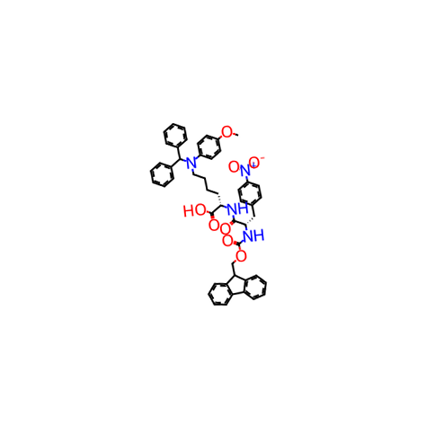 COc1ccc(N(CCCC[C@H](NC(=O)[C@H](Cc2ccc([N+](=O)[O-])cc2)NC(=O)OCC2c3ccccc3-c3ccccc32)C(=O)O)C(c2ccccc2)c2ccccc2)cc1